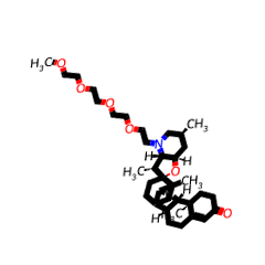 COCCOCCOCCOCCN1C[C@@H](C)C[C@H]2O[C@]3(CCC45CC3(C)C4C[C@H]3[C@H]5CCC4=CC(=O)CC[C@@]43C)[C@H](C)[C@@H]21